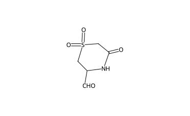 O=CC1CS(=O)(=O)CC(=O)N1